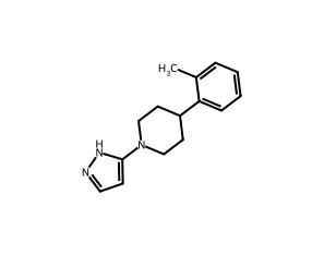 Cc1ccccc1C1CCN(c2ccn[nH]2)CC1